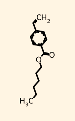 C=Cc1ccc(C(=O)OCCCCCC)cc1